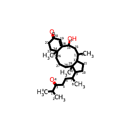 CC(C)C(=O)CCC(C)C1CCC2C(C)CC(O)C3=CC(=O)CCC3(C)CCCC12C